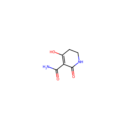 NC(=O)C1=C(O)CCNC1=O